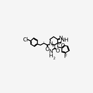 NC(=O)[C@@H]1N(C(=O)[CH]Cc2ccc(Cl)cc2)CCC2=NNC(=O)[C@@]21Cc1cccc(F)c1